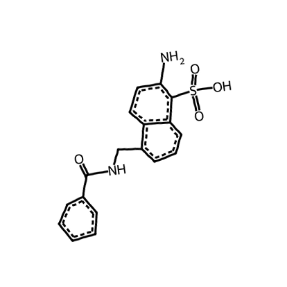 Nc1ccc2c(CNC(=O)c3ccccc3)cccc2c1S(=O)(=O)O